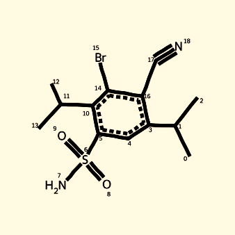 CC(C)c1cc(S(N)(=O)=O)c(C(C)C)c(Br)c1C#N